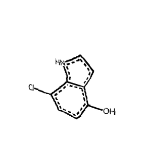 Oc1ccc(Cl)c2[nH]ccc12